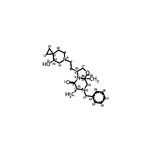 C[C@H]1C(=O)N2[C@@H](CCN3CCC4(CC4)[C@H](O)C3)CO[C@]2(C)CN1Cc1ccccc1